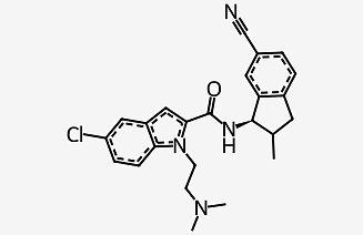 CC1Cc2ccc(C#N)cc2[C@@H]1NC(=O)c1cc2cc(Cl)ccc2n1CCN(C)C